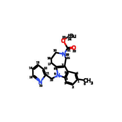 Cc1ccc2c(c1)c1c(n2Cc2ccccn2)CCCN(C(=O)OC(C)(C)C)C1